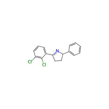 Clc1cccc(C2=NC(c3ccccc3)CC2)c1Cl